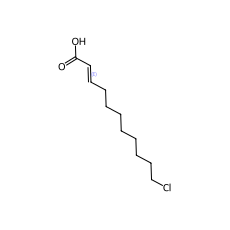 O=C(O)/C=C/CCCCCCCCCl